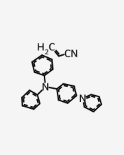 C=CC#N.c1ccc(N(c2ccccc2)c2ccccc2)cc1.c1ccncc1